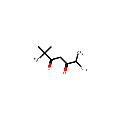 CC(C)(C(=O)CC(=O)C(C(F)(F)F)C(F)(F)F)C(F)(F)F